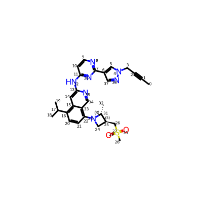 CC#CCn1cc(-c2nccc(Nc3cc4c(C(C)C)ccc(N5C[C@H](CS(C)(=O)=O)[C@H]5C)c4cn3)n2)cn1